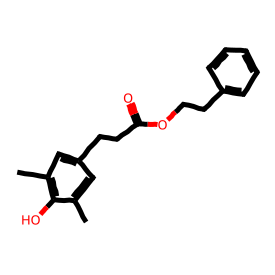 Cc1cc(CCC(=O)OCCc2ccccc2)cc(C)c1O